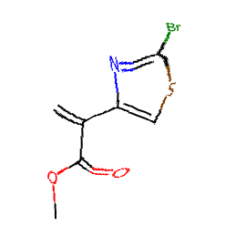 C=C(C(=O)OC)c1csc(Br)n1